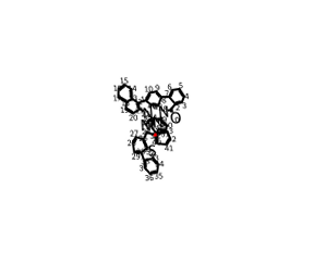 O=c1c2ccccc2c2ccc3c4c5ccccc5ccc4n(-c4nc(-c5cccc6c5sc5ccccc56)c5ccccc5n4)c3c2n1-c1ccccc1